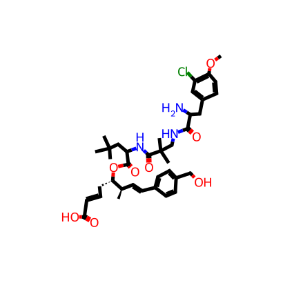 COc1ccc(CC(N)C(=O)NCC(C)(C)C(=O)NC(CC(C)(C)C)C(=O)O[C@@H](C/C=C/C(=O)O)[C@H](C)/C=C/c2ccc(CO)cc2)cc1Cl